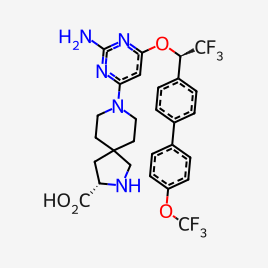 Nc1nc(O[C@H](c2ccc(-c3ccc(OC(F)(F)F)cc3)cc2)C(F)(F)F)cc(N2CCC3(CC2)CN[C@H](C(=O)O)C3)n1